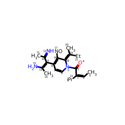 C/C=C(\C(=O)N1C=CC(C(/C(C)=N)=C(\C)N)=C(N=O)/C1=C(\C)CC)C(C)C